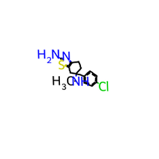 CNC1(c2ccc(Cl)cc2)CCc2nc(N)sc2C1